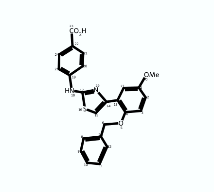 COc1ccc(OCc2ccccc2)c(-c2csc(Nc3ccc(C(=O)O)cc3)n2)c1